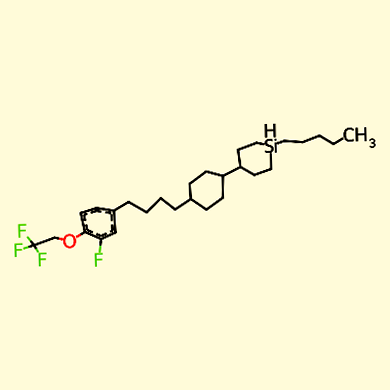 CCCCC[SiH]1CCC(C2CCC(CCCCc3ccc(OCC(F)(F)F)c(F)c3)CC2)CC1